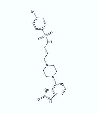 O=c1[nH]c2cccc(N3CCN(CCCNS(=O)(=O)c4ccc(Br)cc4)CC3)c2o1